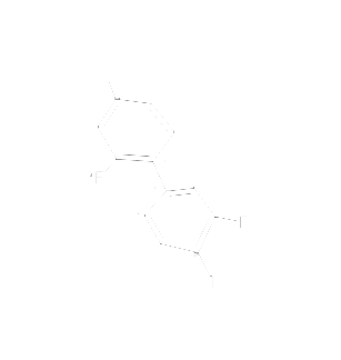 Fc1ccc(-c2ccc(I)c(F)c2)c(F)c1